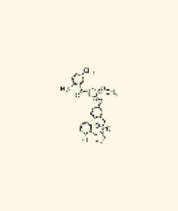 CO[C@@H]1CN(C(=O)c2cc(C)ccc2C)C[C@H]1Oc1cccc(CS(=O)(=O)N2CCCC2c2ccccc2Cl)c1